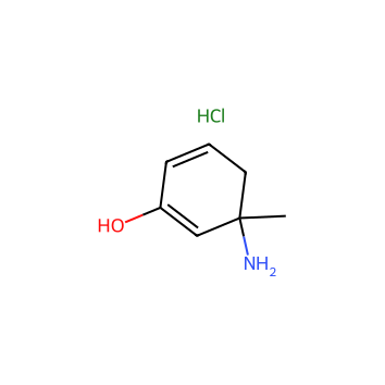 CC1(N)C=C(O)C=CC1.Cl